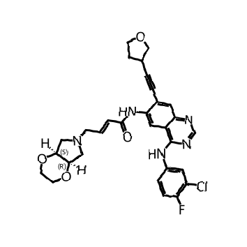 O=C(C=CCN1C[C@@H]2OCCO[C@@H]2C1)Nc1cc2c(Nc3ccc(F)c(Cl)c3)ncnc2cc1C#CC1CCOC1